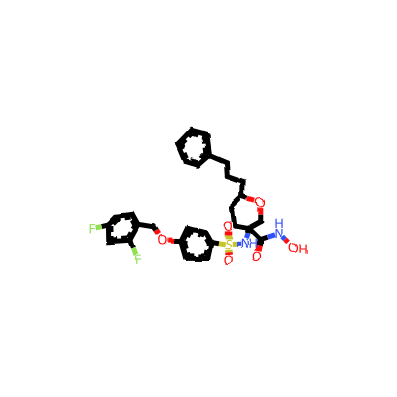 O=C(NO)C1(NS(=O)(=O)c2ccc(OCc3ccc(F)cc3F)cc2)CCC(CCCc2ccccc2)OC1